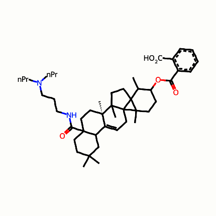 CCCN(CCC)CCCNC(=O)C12CCC(C)(C)CC1C1=CCC34C5(C)CCC(OC(=O)c6ccccc6C(=O)O)C(C)C53CCC4(C)[C@]1(C)CC2